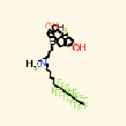 CN(CCCCCCC(F)(F)C(F)(F)C(F)(F)C(F)(F)C(F)(F)C(F)(F)C(F)(F)C(F)(F)F)CCCCC[C@@H]1Cc2cc(O)ccc2[C@@H]2[C@@H]1[C@@H]1CC[C@H](O)[C@@]1(C)C[C@@H]2F